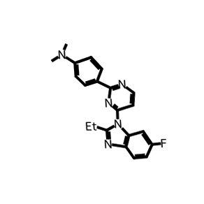 CCc1nc2ccc(F)cc2n1-c1ccnc(-c2ccc(N(C)C)cc2)n1